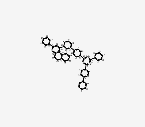 c1ccc(-c2ccc(-c3nc(-c4ccccc4)nc(-c4ccc(-c5cccc(-c6cc(-c7ccccc7)nc7ccc8ccccc8c67)c5)cc4)n3)cc2)cc1